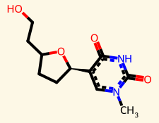 Cn1cc([C@H]2CCC(CCO)O2)c(=O)[nH]c1=O